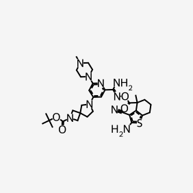 CN1CCN(c2cc(N3CCC4(CN(C(=O)OC(C)(C)C)C4)C3)cc(/C(N)=N/OC(=O)C3(C)CCCc4sc(N)c(C#N)c43)n2)CC1